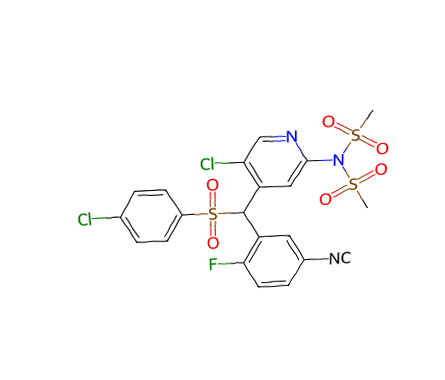 [C-]#[N+]c1ccc(F)c(C(c2cc(N(S(C)(=O)=O)S(C)(=O)=O)ncc2Cl)S(=O)(=O)c2ccc(Cl)cc2)c1